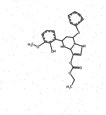 CCOC(=O)OC1=CNN2C(Sc3ccccc3)CC(c3cccc(OC)c3O)NC12